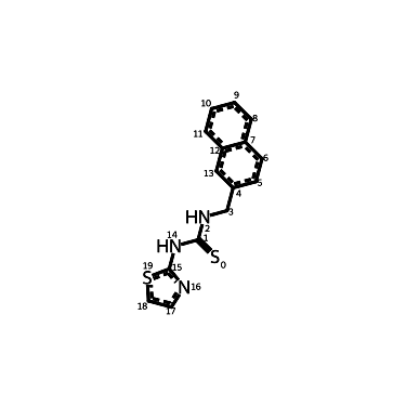 S=C(NCc1ccc2ccccc2c1)Nc1nccs1